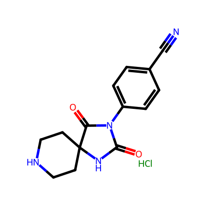 Cl.N#Cc1ccc(N2C(=O)NC3(CCNCC3)C2=O)cc1